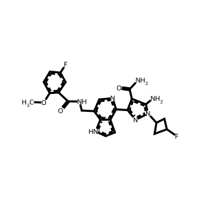 COc1ccc(F)cc1C(=O)NCc1cnc(-c2nn(C3CC(F)C3)c(N)c2C(N)=O)c2cc[nH]c12